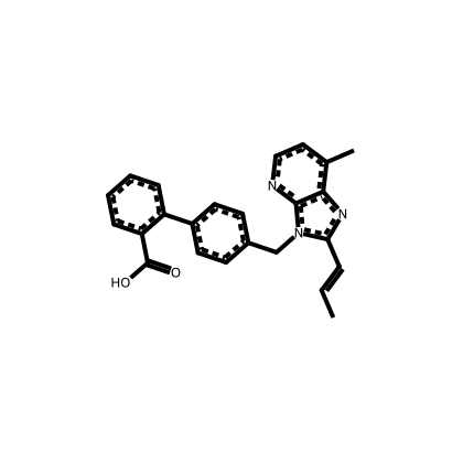 CC=Cc1nc2c(C)ccnc2n1Cc1ccc(-c2ccccc2C(=O)O)cc1